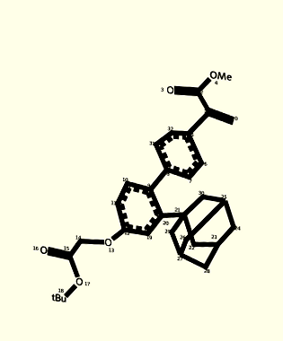 C=C(C(=O)OC)c1ccc(-c2ccc(OCC(=O)OC(C)(C)C)cc2C23CC4CC(CC(C4)C2)C3)cc1